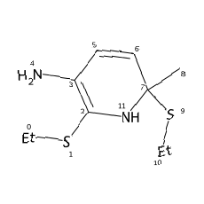 CCSC1=C(N)C=CC(C)(SCC)N1